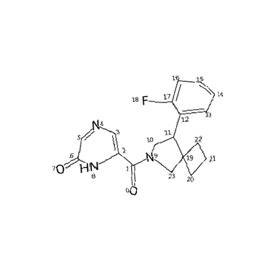 O=C(c1cncc(=O)[nH]1)N1CC(c2ccccc2F)C2(CCC2)C1